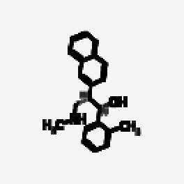 CNC[C@H](c1ccc2ccccc2c1)[C@H](O)c1ccccc1C